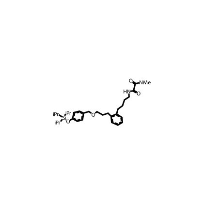 CNC(=O)C(=O)NCCCCc1ccccc1CCCOCc1ccc(O[Si](C(C)C)(C(C)C)C(C)C)cc1